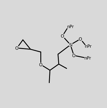 CCCO[Si](CC(C)C(C)OCC1CO1)(OCCC)OCCC